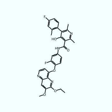 CCOc1nc2c(Oc3ccc(NC(=O)c4c(C)nc(C)c(-c5ccc(F)cc5C)c4O)cc3F)ccnc2cc1OC